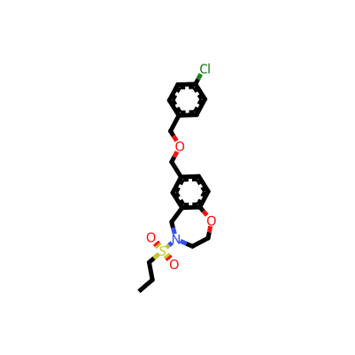 CCCS(=O)(=O)N1CCOc2ccc(COCc3ccc(Cl)cc3)cc2C1